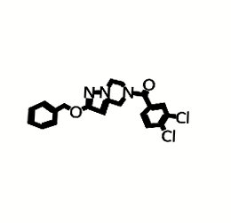 O=C(c1ccc(Cl)c(Cl)c1)N1CCn2nc(OCc3ccccc3)cc2C1